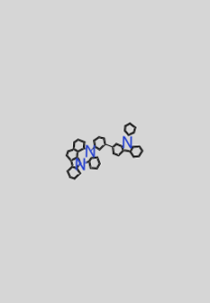 c1ccc(-n2c3ccccc3c3ccc(-c4cccc(-n5c6cccc7ccc8c9ccccc9n(c9ccccc95)c8c76)c4)cc32)cc1